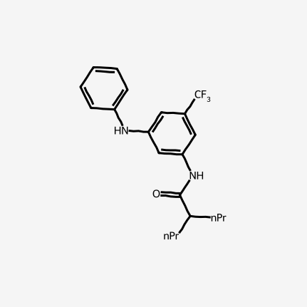 CCCC(CCC)C(=O)Nc1cc(Nc2ccccc2)cc(C(F)(F)F)c1